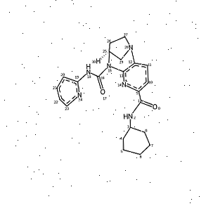 O=C(NC1CCCCC1)c1ccc2c(n1)N(C(=O)Nc1ccccn1)[C@H]1CCN2C1